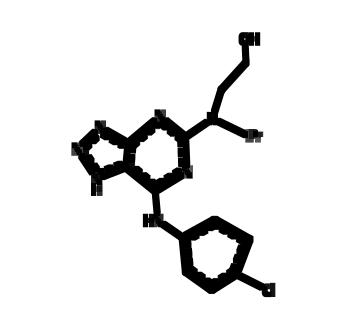 CC(C)N(CCO)c1nc(Nc2ccc(Cl)cc2)c2[nH]nnc2n1